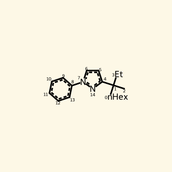 CCCCCCC(C)(CC)c1ccn(-c2ccccc2)n1